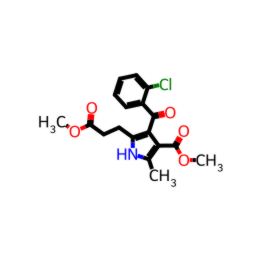 COC(=O)CCc1[nH]c(C)c(C(=O)OC)c1C(=O)c1ccccc1Cl